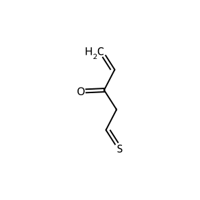 C=CC(=O)CC=S